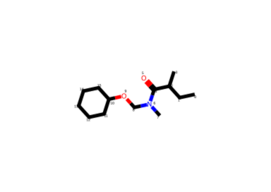 CCC(C)C(=O)N(C)COC1CCCCC1